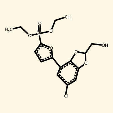 CCOP(=O)(OCC)c1ccc(-c2cc(Cl)cc3c2OC(CO)O3)o1